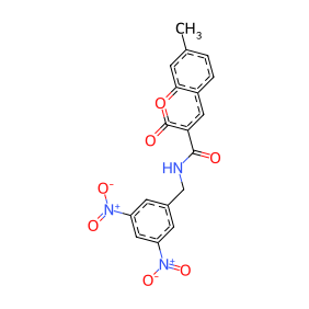 Cc1ccc2cc(C(=O)NCc3cc([N+](=O)[O-])cc([N+](=O)[O-])c3)c(=O)oc2c1